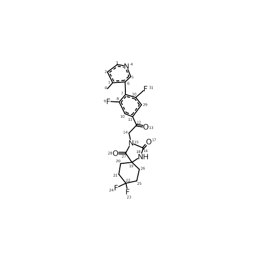 Cc1ccncc1-c1c(F)cc(C(=O)CN2C(=O)NC3(CCC(F)(F)CC3)C2=O)cc1F